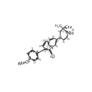 COc1ccc(C2=C\C(=O)N3C=C(N4CCNC(C)(C)C4)C=C\C3=C/C=C/2)cc1